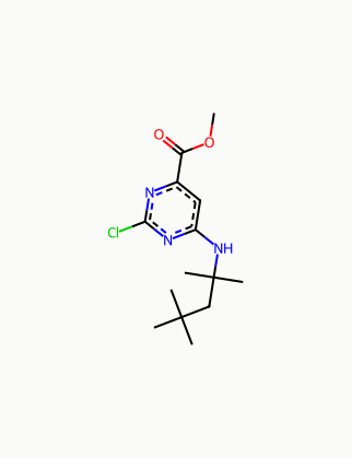 COC(=O)c1cc(NC(C)(C)CC(C)(C)C)nc(Cl)n1